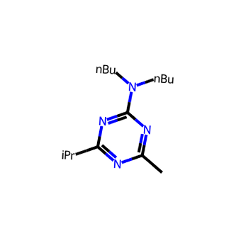 CCCCN(CCCC)c1nc(C)nc(C(C)C)n1